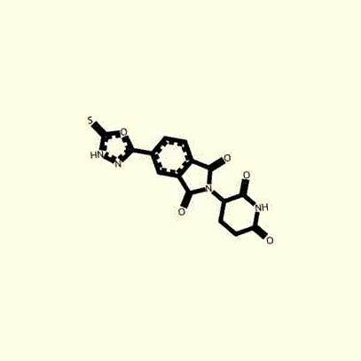 O=C1CCC(N2C(=O)c3ccc(-c4n[nH]c(=S)o4)cc3C2=O)C(=O)N1